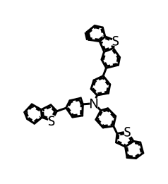 c1ccc2sc3ccc(-c4ccc(N(c5ccc(-c6cc7ccccc7s6)cc5)c5ccc(-c6cc7ccccc7s6)cc5)cc4)cc3c2c#1